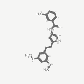 COc1cc(CCc2cc(NC(=O)c3cccc(C)c3)n[nH]2)cc(OC)c1